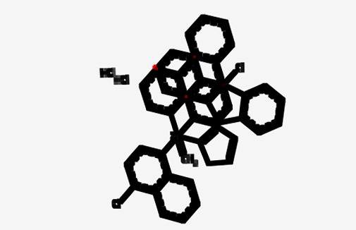 Cl.Cl.[CH2]=[Zr]([C]1=CC=CC1)([c]1ccc(Cl)c2ccccc12)([c]1ccc(Cl)c2ccccc12)[c]1cccc2c1c1c(c3ccccc32)-c2ccccc2C1